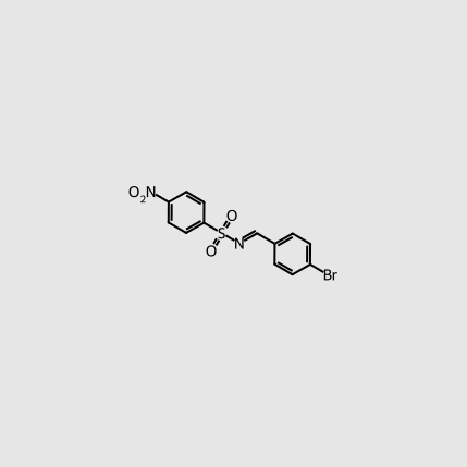 O=[N+]([O-])c1ccc(S(=O)(=O)/N=C/c2ccc(Br)cc2)cc1